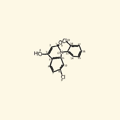 O=c1cc(O)c2ccc(Cl)cc2n1-c1ccccc1Cl